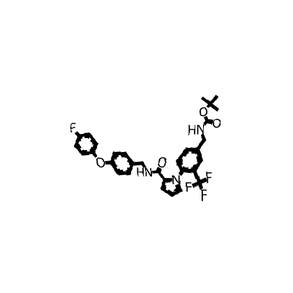 CC(C)(C)OC(=O)NCc1ccc(-n2cccc2C(=O)NCc2ccc(Oc3ccc(F)cc3)cc2)c(C(F)(F)F)c1